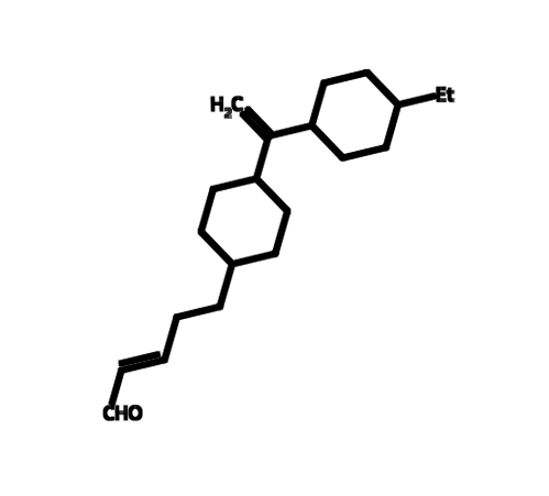 C=C(C1CCC(CC)CC1)C1CCC(CCC=CC=O)CC1